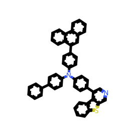 c1ccc(-c2ccc(N(c3ccc(-c4cc5ccccc5c5ccccc45)cc3)c3ccc(-c4cncc5sc6ccccc6c45)cc3)cc2)cc1